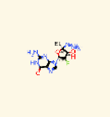 CC[C@@]1(N=[N+]=[N-])O[C@@H](n2cnc3c(=O)[nH]c(N)nc32)[C@H](F)[C@@H]1O